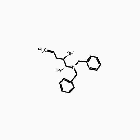 C=CCC(O)[C@@H](C(C)C)N(Cc1ccccc1)Cc1ccccc1